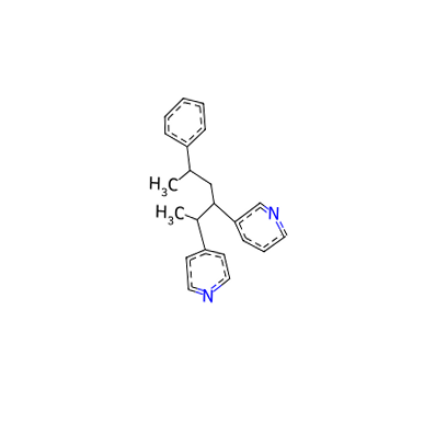 CC(CC(c1cccnc1)C(C)c1ccncc1)c1ccccc1